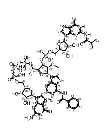 CO[C@@H]1[C@H](OP(=O)(O)OC[C@H]2O[C@@H](n3cnc4c(=O)[nH]c(NC(=O)C(C)C)nc43)[C@H](O)[C@@H]2O)C([C@H](C)OP(=O)(O)OP(=O)(O)OP(=O)(O)OC[C@H]2O[C@@H](n3c[n+](C)c4c(=O)[nH]c(N)nc43)[C@H](O)[C@@H]2O)O[C@H]1n1cnc2c(NC(=O)c3ccccc3)ncnc21